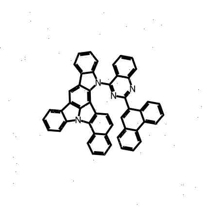 c1ccc2c(c1)cc(-c1nc(-n3c4ccccc4c4cc5c6ccccc6n6c7c8ccccc8ccc7c(c43)c56)c3ccccc3n1)c1ccccc12